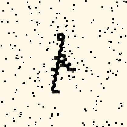 COCCOCCOC(=O)CCC(NC(=O)CCCC[C@@H]1CCSS1)C(=O)NC(C)C(=O)O